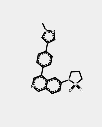 Cn1cc(-c2ccc(-c3cncc4ccc(N5CCCS5(=O)=O)cc34)cc2)cn1